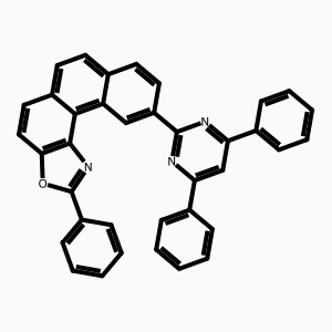 c1ccc(-c2cc(-c3ccccc3)nc(-c3ccc4ccc5ccc6oc(-c7ccccc7)nc6c5c4c3)n2)cc1